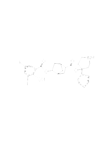 O=C(OC1CC2CC1CC2C(=O)OC1(c2ccccc2)CCNCC1)c1cc(I)cc(I)c1O